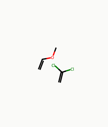 C=C(Cl)Cl.C=COC